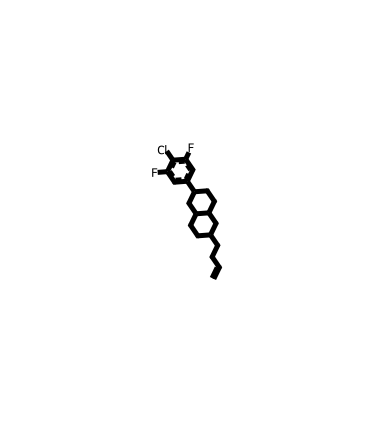 C=CCCC1CCC2CC(c3cc(F)c(Cl)c(F)c3)CCC2C1